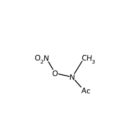 CC(=O)N(C)O[N+](=O)[O-]